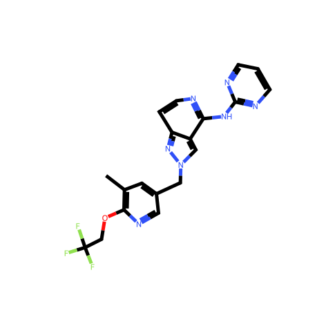 Cc1cc(Cn2cc3c(Nc4ncccn4)nccc3n2)cnc1OCC(F)(F)F